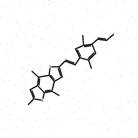 C/C=C/c1cc(C)c(/C=C/c2cc3c(C)c4sc(C)cc4c(C)c3s2)cc1C